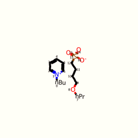 CCCC[n+]1ccccc1.CCCOCCCCS(=O)(=O)[O-]